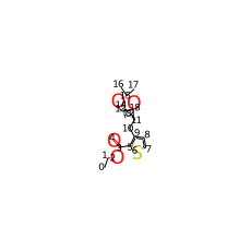 CCOC(=O)c1sccc1CC[C@H]1COC(C)(C)O1